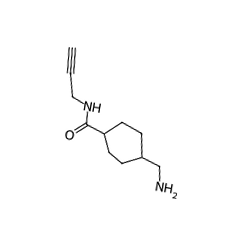 C#CCNC(=O)C1CCC(CN)CC1